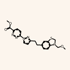 COCN1CSc2cc(CCc3ccn(-c4ccc(C(=O)OC)nn4)n3)ccc21